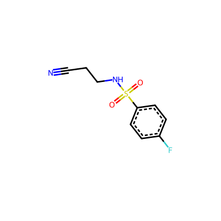 N#CCCNS(=O)(=O)c1ccc(F)cc1